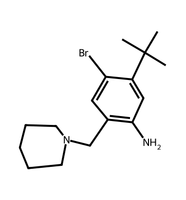 CC(C)(C)c1cc(N)c(CN2CCCCC2)cc1Br